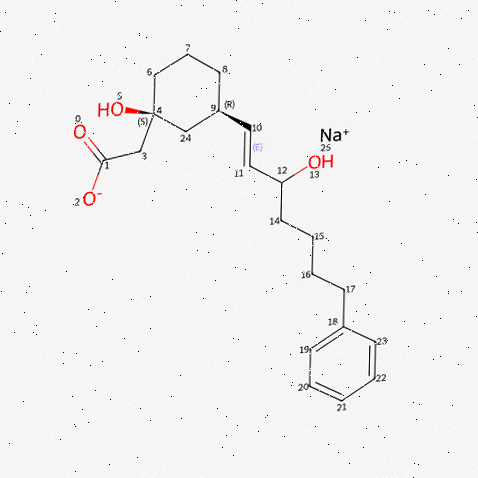 O=C([O-])C[C@]1(O)CCC[C@@H](/C=C/C(O)CCCCc2ccccc2)C1.[Na+]